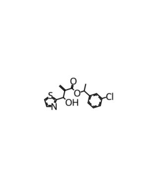 C=C(C(=O)OC(C)c1cccc(Cl)c1)C(O)c1nccs1